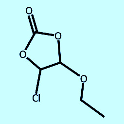 CCOC1OC(=O)OC1Cl